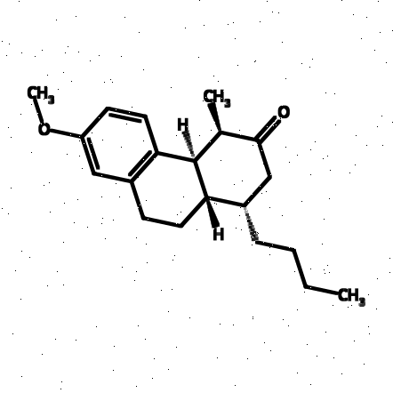 CCCC[C@H]1CC(=O)[C@H](C)[C@@H]2c3ccc(OC)cc3CC[C@@H]12